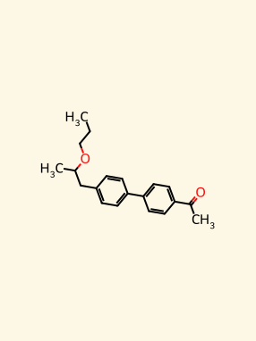 CCCOC(C)Cc1ccc(-c2ccc(C(C)=O)cc2)cc1